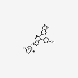 Cn1ncc2cc(-c3ncc4c(ccn4C[C@H]4C[C@H]5CC[C@@H](C4)N5)c3-c3ccc(C#N)cc3)ccc21